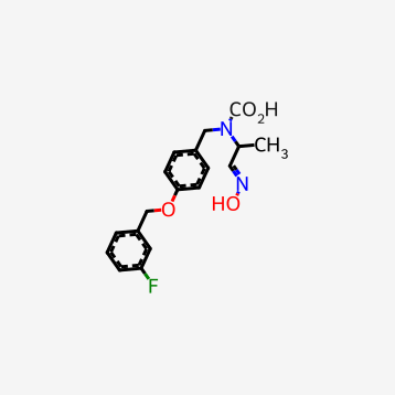 CC(C=NO)N(Cc1ccc(OCc2cccc(F)c2)cc1)C(=O)O